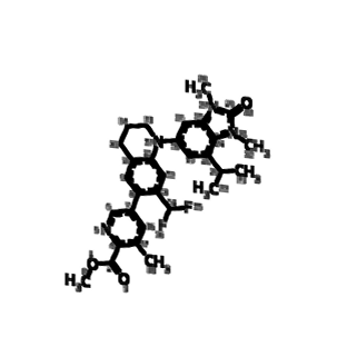 COC(=O)c1ncc(-c2cc3c(cc2C(F)F)N(c2cc(C(C)C)c4c(c2)n(C)c(=O)n4C)CCC3)cc1C